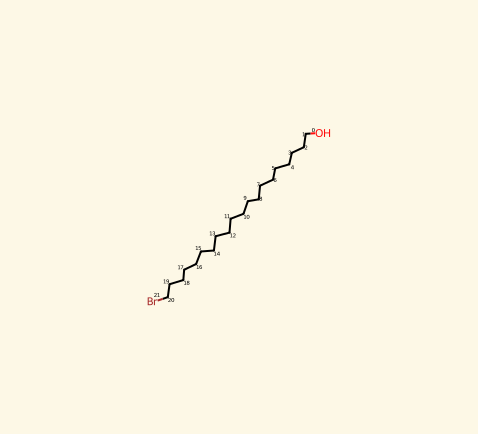 OCCCCCCCCCCCCCCCCCCCCBr